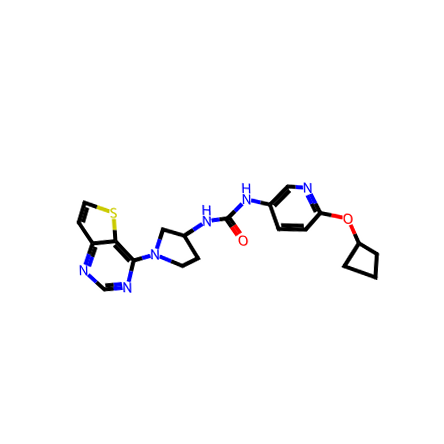 O=C(Nc1ccc(OC2CCC2)nc1)NC1CCN(c2ncnc3ccsc23)C1